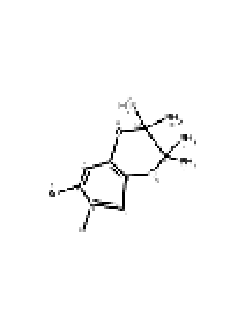 BC1(B)Oc2cc(C)c(Br)cc2OC1(B)B